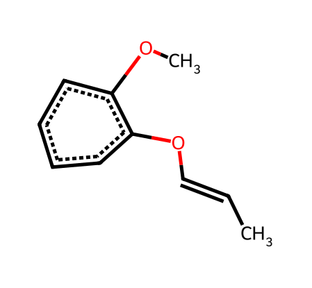 CC=COc1ccccc1OC